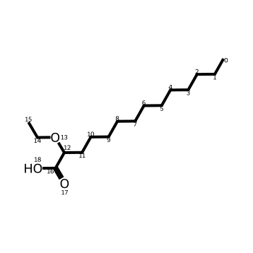 CCCCCCCCCCCCC(OCC)C(=O)O